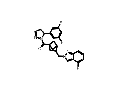 O=C(N1N=CCC1c1cc(F)cc(F)c1)C12CC(Cn3cc4c(F)cccc4n3)C(C1)C2